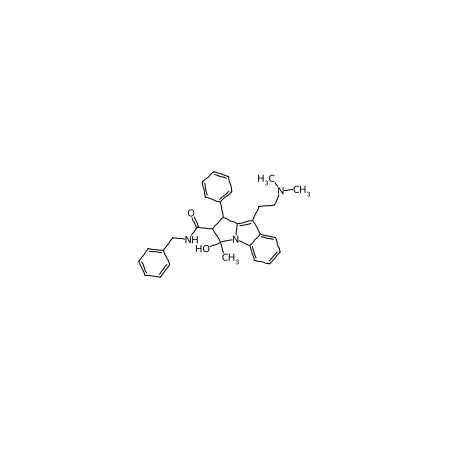 CN(C)CCc1c2n(c3ccccc13)C(C)(O)C(C(=O)NCc1ccccc1)C2c1ccccc1